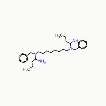 CCCC(N)N(CCCCCCCCN(Cc1ccccc1)C(N)CCC)Cc1ccccc1